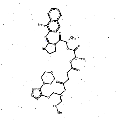 C[C@H](OC(=O)CCC(=O)O[C@@H](CNC(C)(C)C)COc1nsnc1N1CCOCC1)C(=O)O[C@@H](C)C(=O)N1CCN/C1=N/c1ccc2nccnc2c1Br